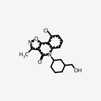 Cc1noc2c1c(=O)n(C1CCCC(CO)C1)c1cccc(Cl)c21